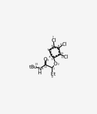 CCC(Oc1ccc(Cl)c(Cl)c1Cl)C(=O)NC(C)(C)C